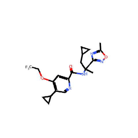 Cc1nc(C(C)(CC2CC2)NC(=O)c2cc(OCC(F)(F)F)c(C3CC3)cn2)no1